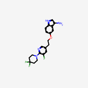 Nc1c[nH]c2ccc(OCCc3cnc(N4CCC(F)(F)CC4)c(F)c3)cc12